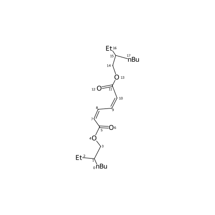 CCCCC(CC)COC(=O)/C=C\C=C/C(=O)OCC(CC)CCCC